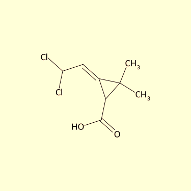 CC1(C)C(=CC(Cl)Cl)C1C(=O)O